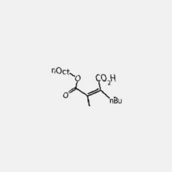 CCCCCCCCOC(=O)C(C)=C(CCCC)C(=O)O